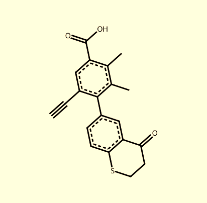 C#Cc1cc(C(=O)O)c(C)c(C)c1-c1ccc2c(c1)C(=O)CCS2